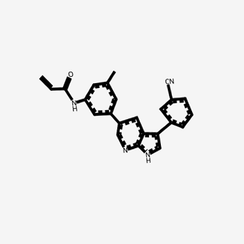 C=CC(=O)Nc1cc(C)cc(-c2cnc3[nH]cc(-c4cccc(C#N)c4)c3c2)c1